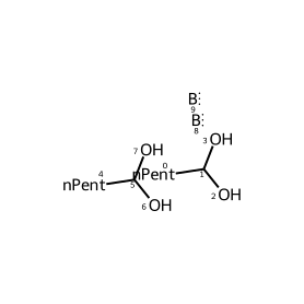 CCCCCC(O)O.CCCCCC(O)O.[B].[B]